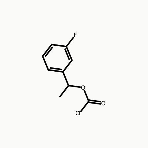 CC(OC(=O)Cl)c1cccc(F)c1